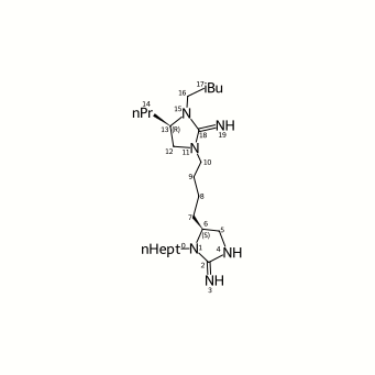 CCCCCCCN1C(=N)NC[C@@H]1CCCCN1C[C@@H](CCC)N(CC(C)CC)C1=N